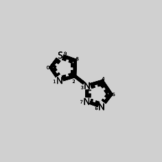 [c]1nc(-n2ccnn2)cs1